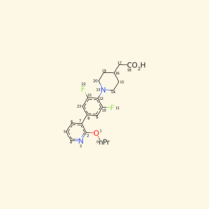 CCCOc1ncccc1-c1cc(F)c(N2CCC(CC(=O)O)CC2)c(F)c1